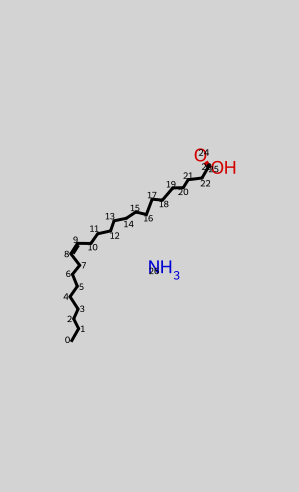 CCCCCCCC/C=C\CCCCCCCCCCCCCC(=O)O.N